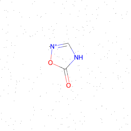 O=C1NC=[N+]O1